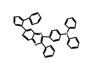 c1ccc(-c2ccccc2-c2ccc3nc(-c4ccccc4)c(-c4ccc(N(c5ccccc5)c5ccccc5)cc4)nc3c2)cc1